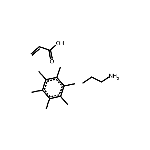 C=CC(=O)O.CCCN.Cc1c(C)c(C)c(C)c(C)c1C